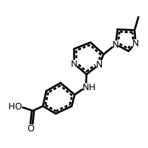 Cc1cn(-c2ccnc(Nc3ccc(C(=O)O)cc3)n2)cn1